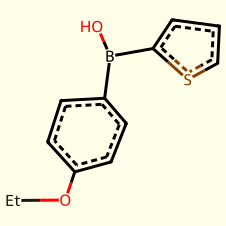 [CH2]COc1ccc(B(O)c2cccs2)cc1